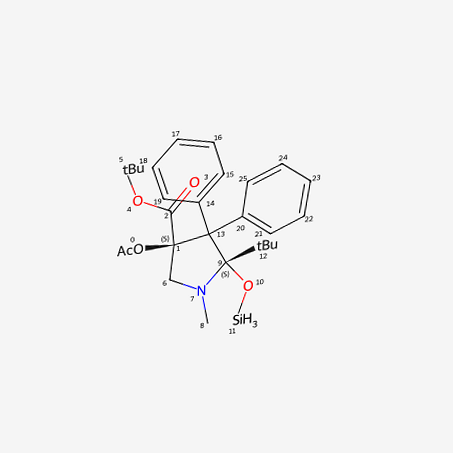 CC(=O)O[C@]1(C(=O)OC(C)(C)C)CN(C)[C@](O[SiH3])(C(C)(C)C)C1(c1ccccc1)c1ccccc1